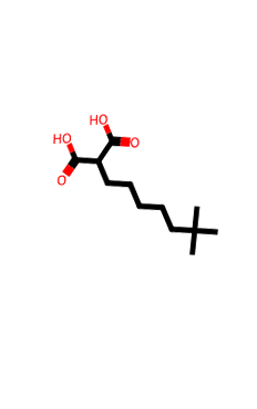 CC(C)(C)CCCCCC(C(=O)O)C(=O)O